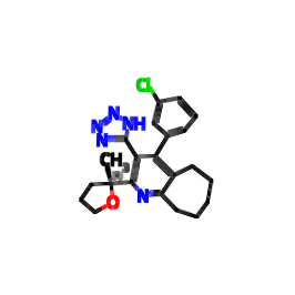 C[C@]1(c2nc3c(c(-c4cccc(Cl)c4)c2-c2nnn[nH]2)CCCCC3)CCCO1